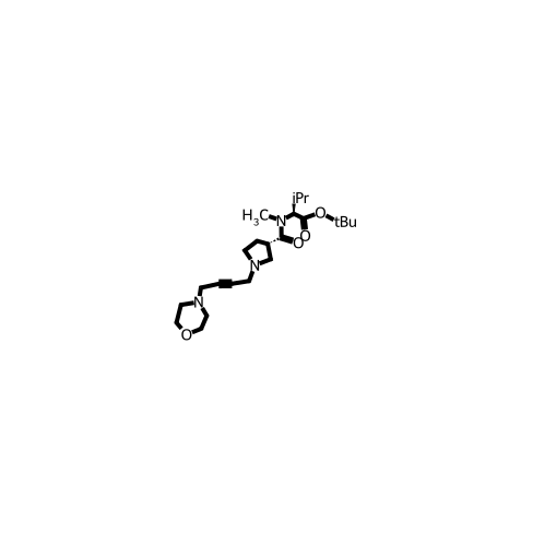 CC(C)[C@@H](C(=O)OC(C)(C)C)N(C)C(=O)[C@H]1CCN(CC#CCN2CCOCC2)C1